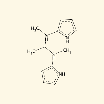 CC([SiH](C)c1ccc[nH]1)[SiH](C)c1ccc[nH]1